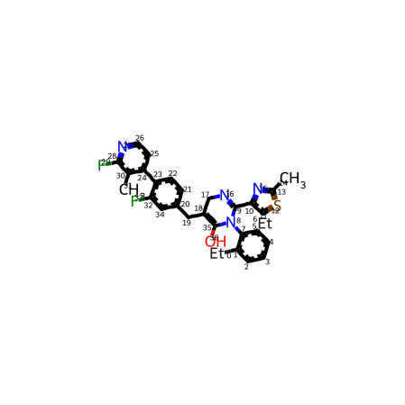 CCc1cccc(CC)c1N1C(c2csc(C)n2)=NCC(Cc2ccc(-c3ccnc(F)c3C)c(F)c2)=C1O